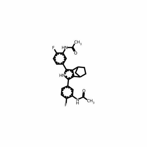 CC(=O)Nc1cc(-c2[nH]c(-c3ccc(F)c(NC(C)=O)c3)c3c2C2CCC3C2)ccc1F